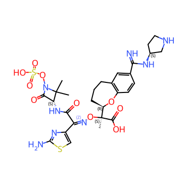 CC1(C)[C@H](NC(=O)/C(=N\O[C@](C)(C(=O)O)[C@H]2CCCc3cc(C(=N)N[C@H]4CCNC4)ccc3O2)c2csc(N)n2)C(=O)N1OS(=O)(=O)O